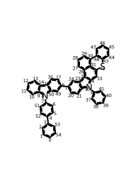 c1ccc(-c2ccc(-n3c4ccccc4c4ccc(-c5ccc6c(c5)c5c7cccc8c7c(cc5n6-c5ccccc5)Sc5ccccc5-8)cc43)cc2)cc1